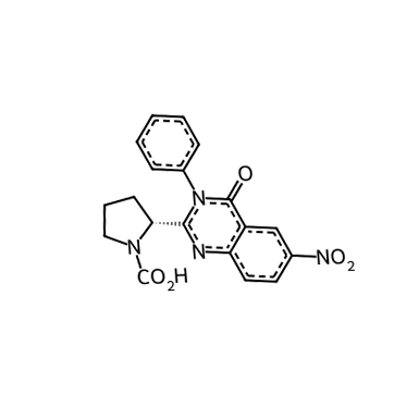 O=C(O)N1CCC[C@@H]1c1nc2ccc([N+](=O)[O-])cc2c(=O)n1-c1ccccc1